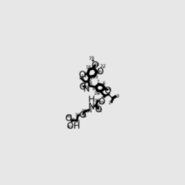 C=C(C)[C@@H]1Oc2ccc(C3=NOC4COc5cc(OC)c(OC)cc5C34)cc2C1OCC(=O)NCCOCCC(=O)O